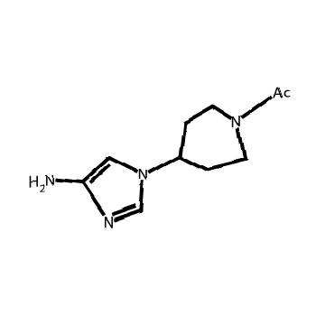 CC(=O)N1CCC(n2cnc(N)c2)CC1